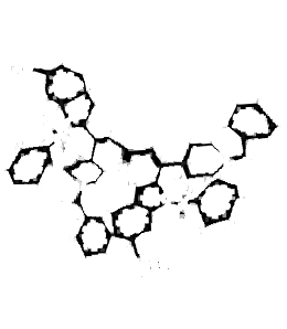 Cc1ccc2cc(C(=CC(=O)C=C(c3cc4ccc(C)cc4n3S(=O)(=O)c3ccccc3)C3CCN(Cc4ccccc4)CC3)C3CCN(Cc4ccccc4)CC3)n(S(=O)(=O)c3ccccc3)c2c1